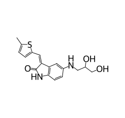 Cc1ccc(C=C2C(=O)Nc3ccc(NCC(O)CO)cc32)s1